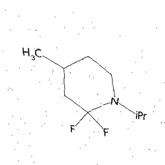 CC1CCN(C(C)C)C(F)(F)C1